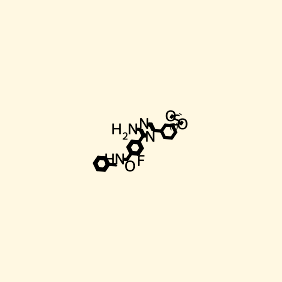 CS(=O)(=O)[C@@H]1CCCC(c2cnc(N)c(-c3ccc(C(=O)NCc4ccccc4)c(F)c3)n2)C1